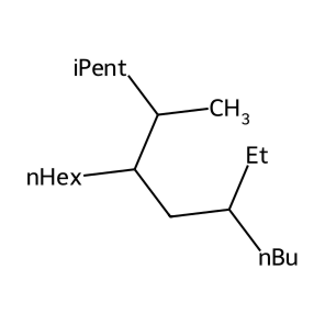 [CH2]CCCC(CC)CC(CCCCCC)C(C)C(C)CCC